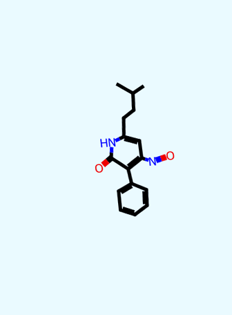 CC(C)CCc1cc(N=O)c(-c2ccccc2)c(=O)[nH]1